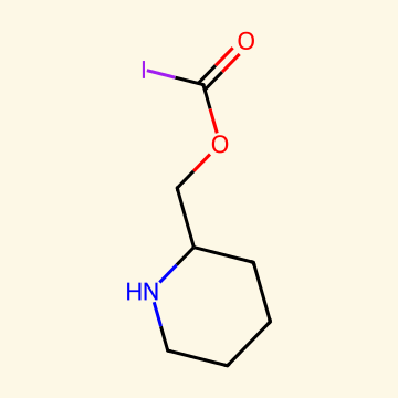 O=C(I)OCC1CCCCN1